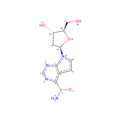 N[S+]([O-])c1ncnc2c1ccn2[C@H]1C[C@H](O)[C@@H](CO)O1